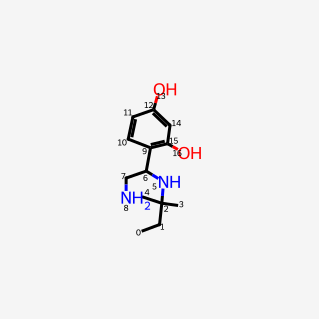 CCC(C)(C)NC(CN)c1ccc(O)cc1O